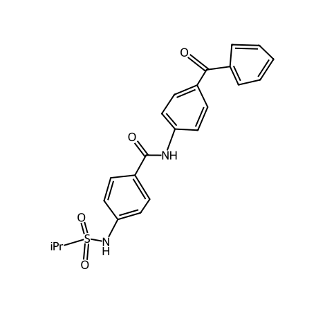 CC(C)S(=O)(=O)Nc1ccc(C(=O)Nc2ccc(C(=O)c3ccccc3)cc2)cc1